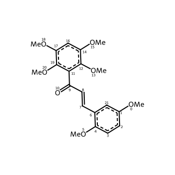 COc1ccc(OC)c(C=CC(=O)c2c(OC)c(OC)cc(OC)c2OC)c1